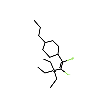 CCCC1CCC(C(F)=C(F)[Si](CC)(CC)CC)CC1